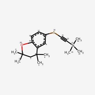 CC1(C)CC(C)(C)c2cc(SC#C[Si](C)(C)C)ccc2O1